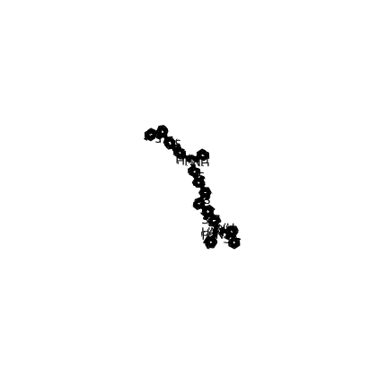 NC(NC(NCc1ccccc1)c1ccc2c(c1)sc1cc(-c3cccc4c3sc3ccc(-c5ccc6c(c5)sc5cc(C7NC(c8ccccc8)=CC(c8ccc9c(c8)sc8cc(-c%10cccc%11c%10sc%10ccccc%10%11)ccc89)N7)ccc56)cc34)ccc12)c1cccc2c1sc1ccccc12